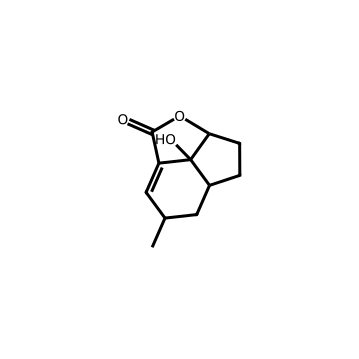 CC1C=C2C(=O)OC3CCC(C1)C23O